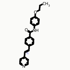 CCCOc1ccc(NC(=O)c2ccc(/C=C/c3ccncc3)cc2)cc1